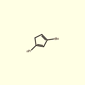 CCCC1=CC(C(C)(C)C)=CC1